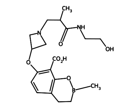 CB1CCc2ccc(OC3CN(CC(C)C(=O)NCCO)C3)c(C(=O)O)c2O1